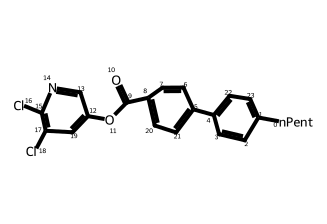 CCCCCc1ccc(-c2ccc(C(=O)Oc3cnc(Cl)c(Cl)c3)cc2)cc1